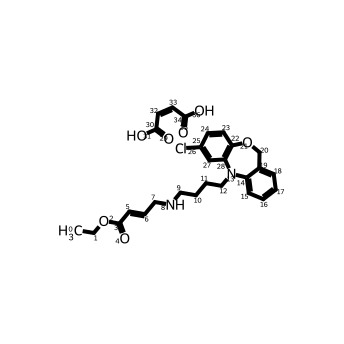 CCOC(=O)/C=C/CNCCCCN1c2ccccc2COc2ccc(Cl)cc21.O=C(O)/C=C\C(=O)O